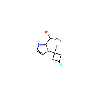 CCC1(n2ccnc2C(O)C(F)(F)F)CC(F)C1